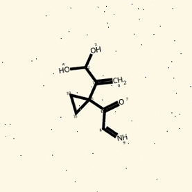 C=C(C(O)O)C1(C(=O)C=N)CC1